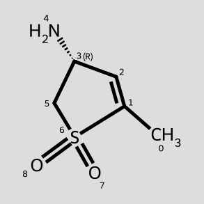 CC1=C[C@@H](N)CS1(=O)=O